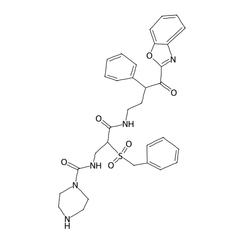 O=C(c1nc2ccccc2o1)C(CCNC(=O)C(CNC(=O)N1CCNCC1)S(=O)(=O)Cc1ccccc1)c1ccccc1